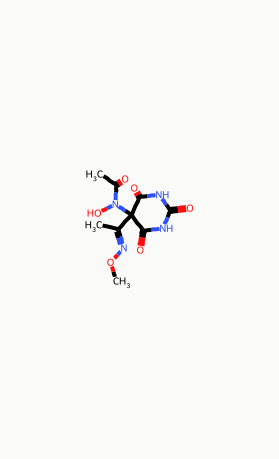 CON=C(C)C1(N(O)C(C)=O)C(=O)NC(=O)NC1=O